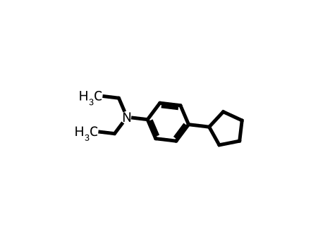 CCN(CC)c1ccc(C2CCCC2)cc1